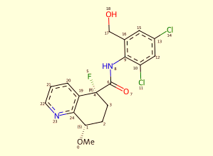 CO[C@H]1CC[C@](F)(C(=O)Nc2c(Cl)cc(Cl)cc2CO)c2cccnc21